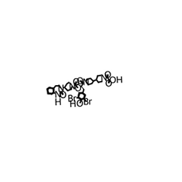 O=C(O)C(=O)N1CCC(C2CCN(C(=O)[C@@H](Cc3cc(Br)c(O)c(Br)c3)OC(=O)N3CCC(N4CCc5ccccc5NC4=O)CC3)CC2)CC1